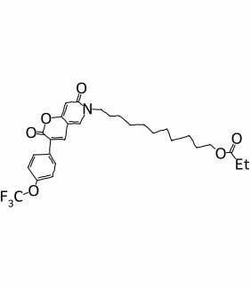 CCC(=O)OCCCCCCCCCCCn1cc2cc(-c3ccc(OC(F)(F)F)cc3)c(=O)oc2cc1=O